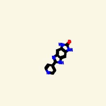 O=c1[nH]c2cc3nc(-c4ccncc4)[nH]c3cc2[nH]1